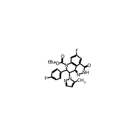 Cc1ccnn1C1c2n[nH]c(=O)c3cc(F)cc(c23)N(C(=O)OC(C)(C)C)C1c1ccc(F)cc1